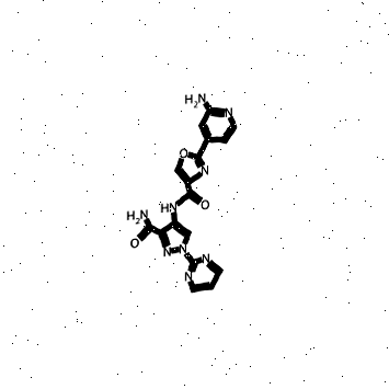 NC(=O)c1nn(-c2ncccn2)cc1NC(=O)c1coc(-c2ccnc(N)c2)n1